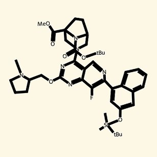 COC(=O)C12CCC(CN(c3nc(OCC4CCCN4C)nc4c(F)c(-c5cc(O[Si](C)(C)C(C)(C)C)cc6ccccc56)ncc34)C1)N2C(=O)OC(C)(C)C